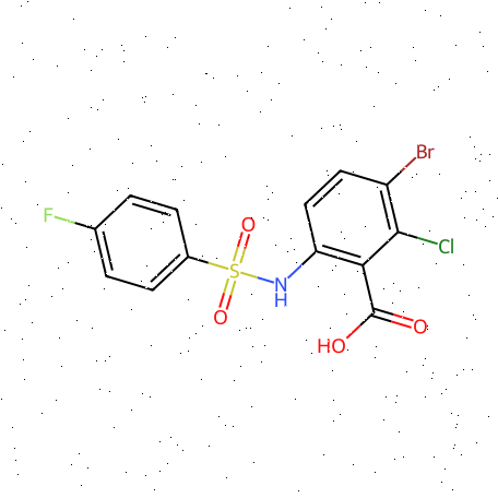 O=C(O)c1c(NS(=O)(=O)c2ccc(F)cc2)ccc(Br)c1Cl